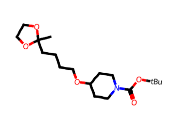 CC(C)(C)OC(=O)N1CCC(OCCCCC2(C)OCCO2)CC1